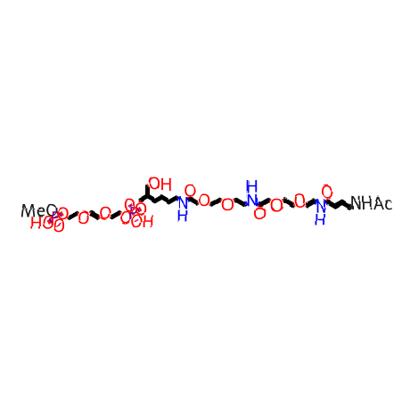 COP(=O)(O)OCCOCCOCCOP(=O)(O)OCC(CO)CCCCNC(=O)COCCOCCNC(=O)COCCOCCNC(=O)CCCNC(C)=O